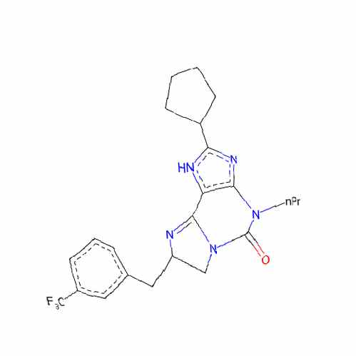 CCCN1C(=O)N2CC(Cc3cccc(C(F)(F)F)c3)N=C2c2[nH]c(C3CCCC3)nc21